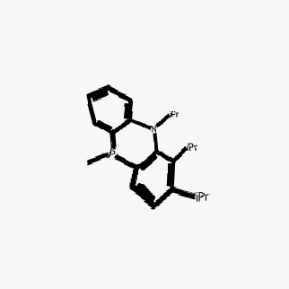 CC(C)c1ccc2c(c1C(C)C)N(C(C)C)c1ccccc1P2C